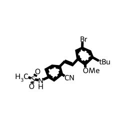 COc1c(/C=C/c2ccc(NS(C)(=O)=O)cc2C#N)cc(Br)cc1C(C)(C)C